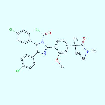 CCOc1cc(C(C)(C)C(=O)N(CC)CC)ccc1C1=NC(c2ccc(Cl)cc2)C(c2ccc(Cl)cc2)N1C(=O)Cl